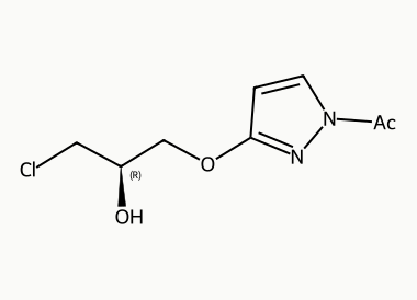 CC(=O)n1ccc(OC[C@@H](O)CCl)n1